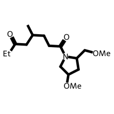 CCC(=O)CC(C)CCC(=O)N1CC(OC)CC1COC